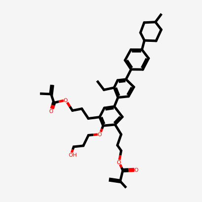 C=C(C)C(=O)OCCCc1cc(-c2ccc(-c3ccc(C4CCC(C)CC4)cc3)cc2CC)cc(CCCOC(=O)C(=C)C)c1OCCCO